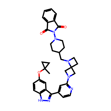 CC1(Oc2ccc3[nH]nc(-c4ccnc(N5CC6(CCN6CC6CCN(N7C(=O)c8ccccc8C7=O)CC6)C5)c4)c3c2)CC1